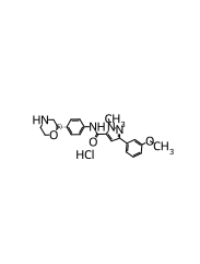 COc1cccc(-c2cc(C(=O)Nc3ccc([C@H]4CNCCO4)cc3)n(C)n2)c1.Cl